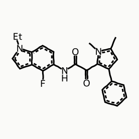 CCn1ccc2c(F)c(NC(=O)C(=O)c3c(-c4ccccc4)cc(C)n3C)ccc21